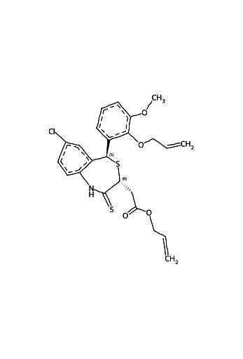 C=CCOC(=O)C[C@H]1S[C@H](c2cccc(OC)c2OCC=C)c2cc(Cl)ccc2NC1=S